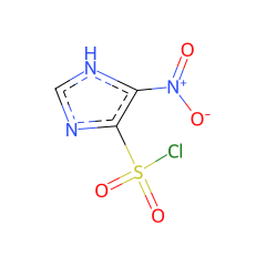 O=[N+]([O-])c1[nH]cnc1S(=O)(=O)Cl